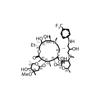 CC[C@H]1OC(=O)[C@H](C)[C@@H](O[C@H]2C[C@@](C)(OC)[C@@H](O)[C@H](C)O2)[C@H](C)[C@@H](O[C@@H]2O[C@H](C)CC(N(C)CC(O)CNc3ccc(C(F)(F)F)cc3)[C@H]2O)[C@](C)(O)C[C@@H](C)CN(C)[C@H](C)[C@@H](O)[C@]1(C)O